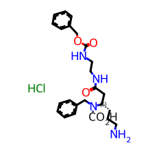 Cl.NCCC[C@@H](CC(=O)NCCNC(=O)OCc1ccccc1)N(Cc1ccccc1)C(=O)O